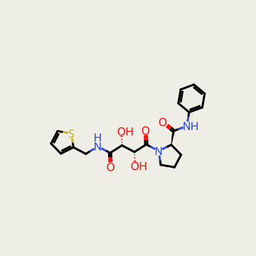 O=C(Nc1ccccc1)[C@H]1CCCN1C(=O)[C@H](O)[C@@H](O)C(=O)NCc1cccs1